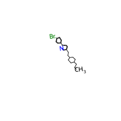 CCCC1CCC(CCc2ccc(-c3ccc(Br)cc3)nc2)CC1